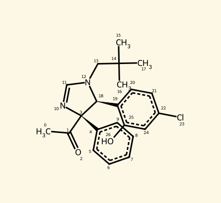 CC(=O)[C@]1(c2ccccc2)N=CN(CC(C)(C)C)[C@H]1c1ccc(Cl)cc1O